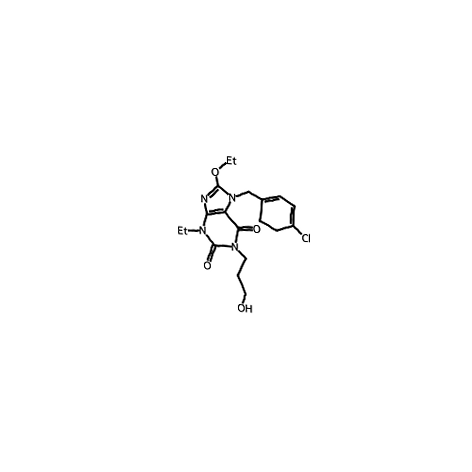 CCOc1nc2c(c(=O)n(CCCO)c(=O)n2CC)n1CC1=CC=C(Cl)CC1